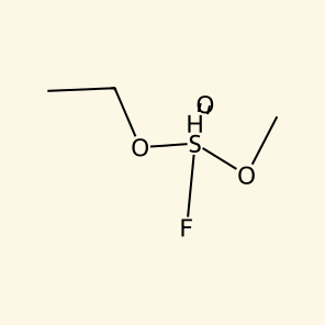 CCO[SH](=O)(F)OC